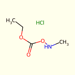 CCOC(=O)ONC.Cl